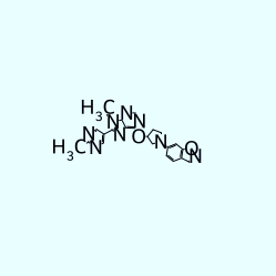 CCn1c(-c2cnc(C)nc2)nc2c(OC3CCN(c4ccc5cnoc5c4)C3)ncnc21